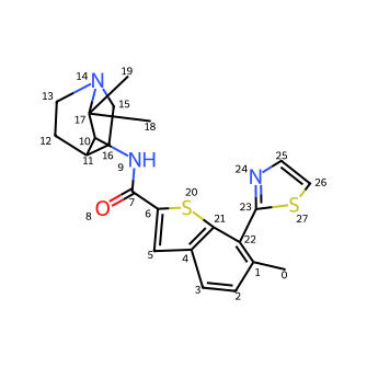 Cc1ccc2cc(C(=O)NC3C4CCN(CC4)C3(C)C)sc2c1-c1nccs1